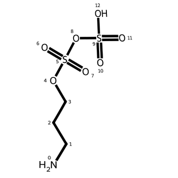 NCCCOS(=O)(=O)OS(=O)(=O)O